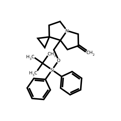 C=C1CN2CCC3(CC3)C2(CO[Si](c2ccccc2)(c2ccccc2)C(C)(C)C)C1